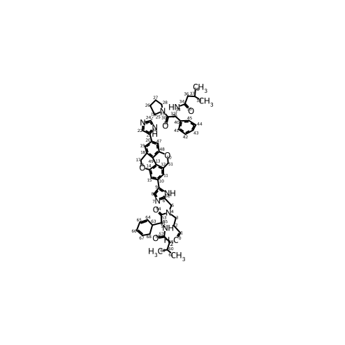 C=CCCN(Cc1ncc(-c2cc3c4c(c2)OCc2cc(-c5cnc([C@@H]6CCCN6C(=O)[C@H](NC(=O)CC(C)C)c6ccccc6)[nH]5)cc(c2-4)OC3)[nH]1)C(=O)[C@H](NC(=O)CC(C)C)C1C=CC=CC1